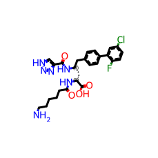 NCCCCCC(=O)N[C@H](C[C@@H](Cc1ccc(-c2cc(Cl)ccc2F)cc1)NC(=O)c1c[nH]nn1)C(=O)O